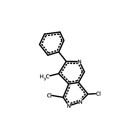 Cc1c(-c2ccccc2)ncc2c(Cl)nnc(Cl)c12